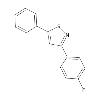 Fc1ccc(-c2[c]c(-c3ccccc3)sn2)cc1